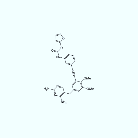 COc1cc(Cc2cnc(N)nc2N)cc(C#Cc2cccc(NC(=O)Oc3ccco3)c2)c1OC